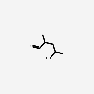 CC(O)CC(C)C=O